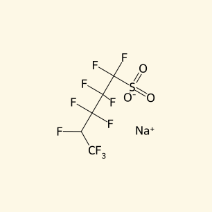 O=S(=O)([O-])C(F)(F)C(F)(F)C(F)(F)C(F)C(F)(F)F.[Na+]